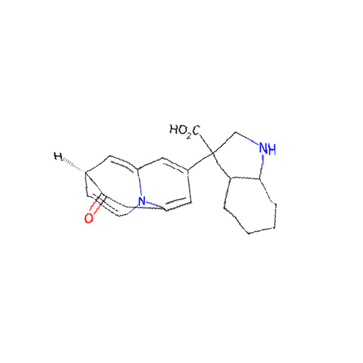 O=C1C2=CC(C3(C(=O)O)CNC4CCCCC43)=CC3=C[C@@H]1C=CN32